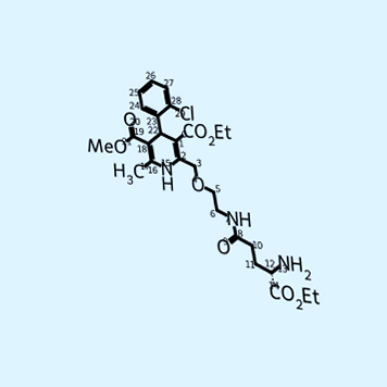 CCOC(=O)C1=C(COCCNC(=O)CC[C@H](N)C(=O)OCC)NC(C)=C(C(=O)OC)C1c1ccccc1Cl